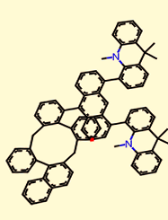 CN1c2ccccc2C(C)(C)c2cccc(-c3cccc4c(-c5cccc6c5-c5ccccc5Cc5ccc7ccccc7c5-c5ccccc5C6)c5cccc(-c6cccc7c6N(C)c6ccccc6C7(C)C)c5cc34)c21